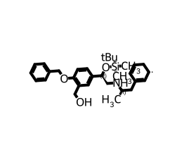 C[C@H](CC1=C[CH]CC=C1)NC[C@H](O[Si](C)(C)C(C)(C)C)c1ccc(OCc2ccccc2)c(CO)c1